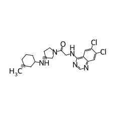 C[C@@H]1CCCC(N[C@@H]2CCN(C(=O)CNc3ncnc4cc(Cl)c(Cl)cc34)C2)C1